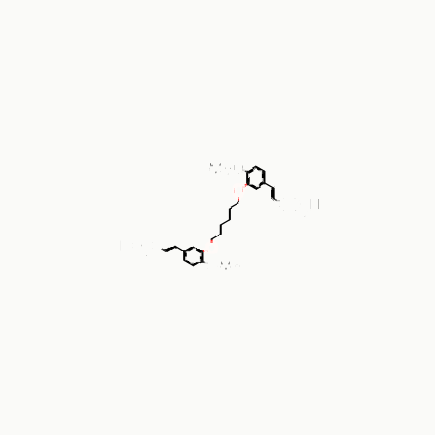 COc1ccc(/C=C/C(=O)O)cc1OCCCCCCOc1cc(/C=C/C(=O)O)ccc1OC